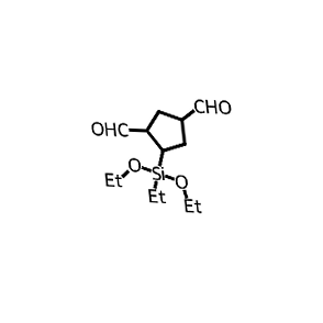 CCO[Si](CC)(OCC)C1CC(C=O)CC1C=O